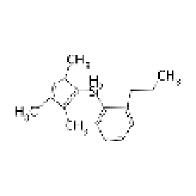 CCCc1ccccc1[SiH2]C1=C(C)C(C)=CC1C